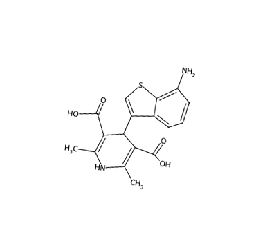 CC1=C(C(=O)O)C(c2csc3c(N)cccc23)C(C(=O)O)=C(C)N1